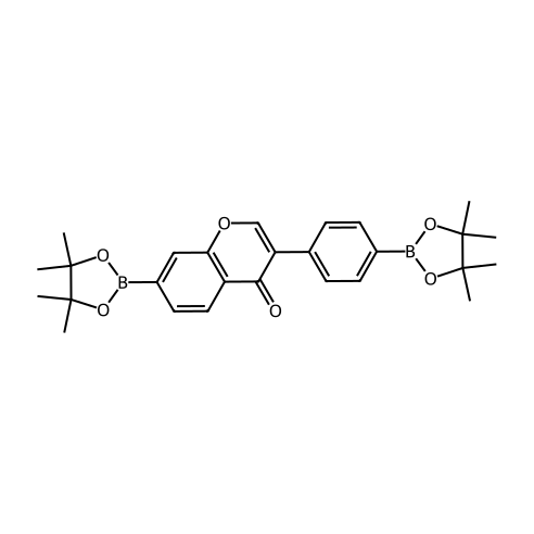 CC1(C)OB(c2ccc(-c3coc4cc(B5OC(C)(C)C(C)(C)O5)ccc4c3=O)cc2)OC1(C)C